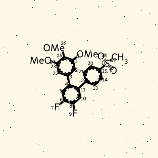 COc1cc(-c2cc(F)c(F)cc2-c2ccc(S(C)(=O)=O)cc2)cc(OC)c1OC